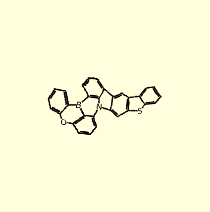 c1ccc2c(c1)Oc1cccc3c1B2c1cccc2c4cc5c(cc4n-3c12)sc1ccccc15